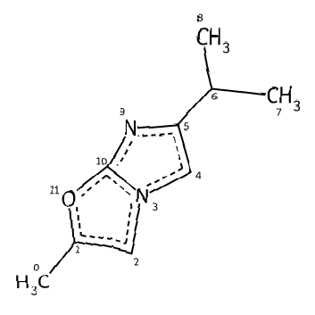 Cc1cn2cc(C(C)C)nc2o1